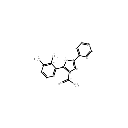 Cc1cccc(-c2[nH]c(-c3ccncc3)cc2C(N)=O)c1C